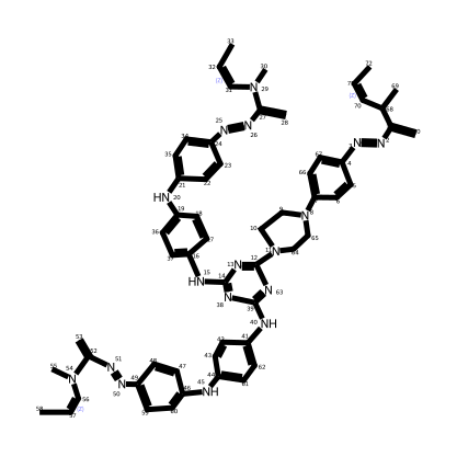 C=C(N=Nc1ccc(N2CCN(c3nc(Nc4ccc(Nc5ccc(N=NC(=C)N(C)/C=C\C)cc5)cc4)nc(Nc4ccc(Nc5ccc(N=NC(=C)N(C)/C=C\C)cc5)cc4)n3)CC2)cc1)C(C)/C=C\C